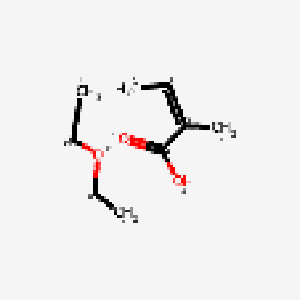 CC=C(C)C(=O)O.CCOCC